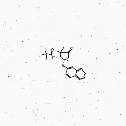 CC(C)(C)C(=O)O[C@H]1[C@@H](Sc2ccc3ccccc3c2)CC(=O)C1(C)C